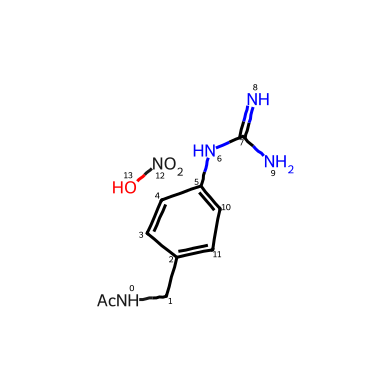 CC(=O)NCc1ccc(NC(=N)N)cc1.O=[N+]([O-])O